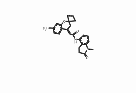 CN1C(=O)CCc2c(NC(=O)/C=C3\CC4(CCC4)Oc4cc(C(F)(F)F)ccc43)cccc21